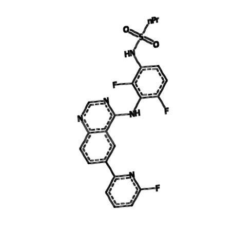 CCCS(=O)(=O)Nc1ccc(F)c(Nc2ncnc3ccc(-c4cccc(F)n4)cc23)c1F